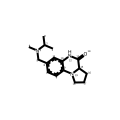 CC(C)N(C)Cc1ccc2c(c1)NC(=O)C1CCCN21